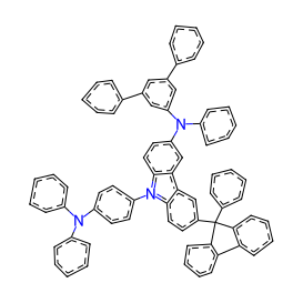 c1ccc(-c2cc(-c3ccccc3)cc(N(c3ccccc3)c3ccc4c(c3)c3cc(C5(c6ccccc6)c6ccccc6-c6ccccc65)ccc3n4-c3ccc(N(c4ccccc4)c4ccccc4)cc3)c2)cc1